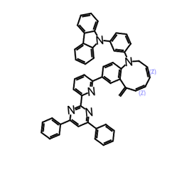 C=C1/C=C\C=C/CN(c2cccc(-n3c4ccccc4c4ccccc43)c2)c2ccc(-c3cccc(-c4nc(-c5ccccc5)cc(-c5ccccc5)n4)n3)cc21